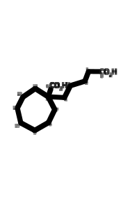 O=C(O)CCCCC1(C(=O)O)CCCCCCC1